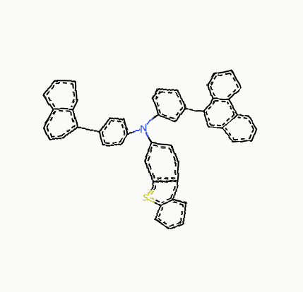 c1cc(-c2cc3ccccc3c3ccccc23)cc(N(c2ccc(-c3cccc4ccccc34)cc2)c2ccc3c(c2)sc2ccccc23)c1